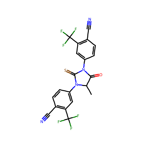 CC1C(=O)N(c2ccc(C#N)c(C(F)(F)F)c2)C(=S)N1c1ccc(C#N)c(C(F)(F)F)c1